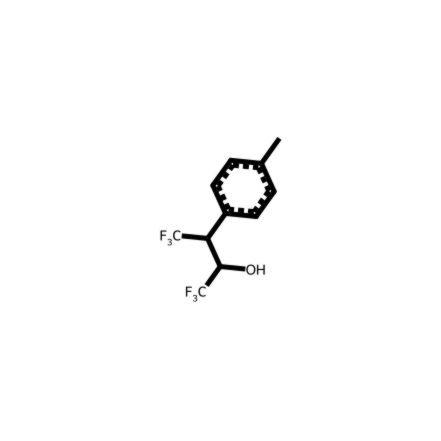 Cc1ccc(C(C(O)C(F)(F)F)C(F)(F)F)cc1